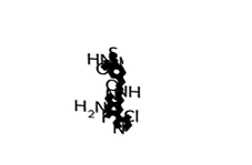 CN1C(=S)NC(=O)C12CCC(=CC(=O)Nc1cc3cc(-c4cnccc4Cl)c(F)c(N)c3cn1)CC2